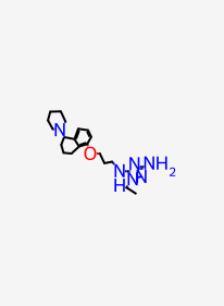 CCn1nc(N)nc1NCCCOc1cccc2c1CCCC2N1CCCCC1